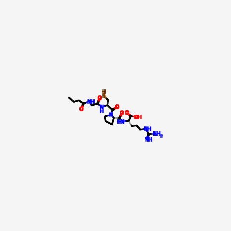 CCCC(=O)NCC(=O)N[C@@H](CS)C(=O)N1CCC[C@H]1C(=O)N[C@@H](CCCNC(=N)N)C(=O)O